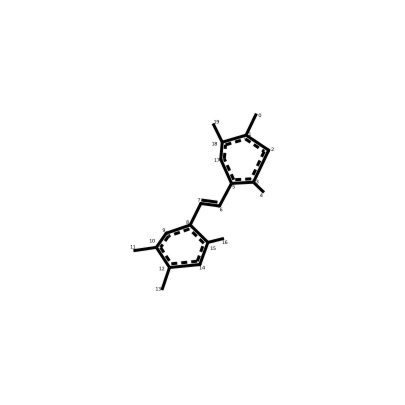 Cc1cc(C)c(/C=C/c2cc(C)c(C)cc2C)cc1C